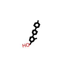 Cc1ccc(-c2ccc(-c3ccc(CO)cc3C)cc2)cc1